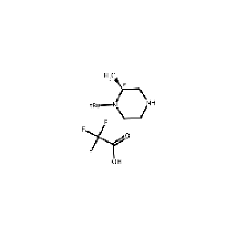 C[C@H]1CNCCN1C(C)(C)C.O=C(O)C(F)(F)F